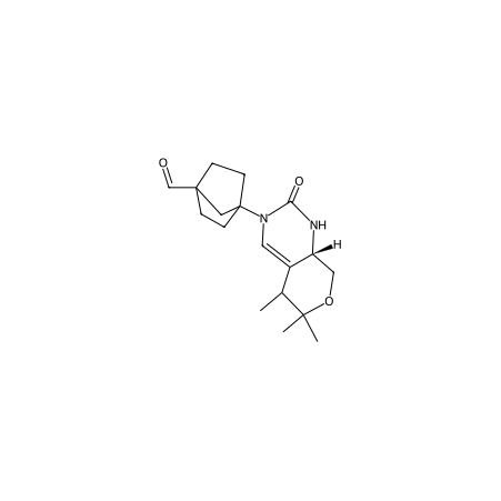 CC1C2=CN(C34CCC(C=O)(CC3)C4)C(=O)N[C@@H]2COC1(C)C